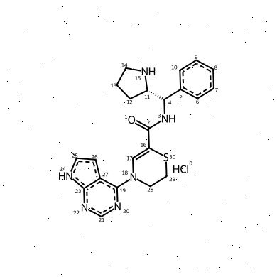 Cl.O=C(NC(c1ccccc1)[C@@H]1CCCN1)C1=CN(c2ncnc3[nH]ccc23)CCS1